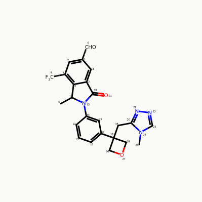 CC1c2c(cc(C=O)cc2C(F)(F)F)C(=O)N1c1cccc(C2(Cc3nncn3C)COC2)c1